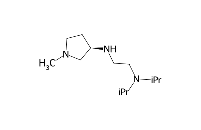 CC(C)N(CCN[C@@H]1CCN(C)C1)C(C)C